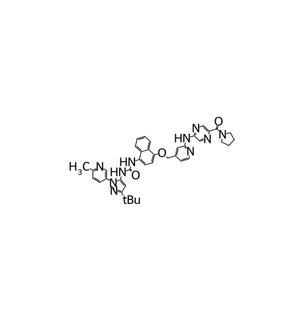 Cc1ccc(-n2nc(C(C)(C)C)cc2NC(=O)Nc2ccc(OCc3ccnc(Nc4cnc(C(=O)N5CCCC5)cn4)c3)c3ccccc23)cn1